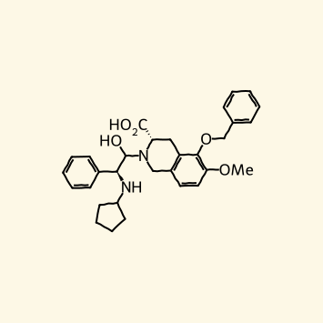 COc1ccc2c(c1OCc1ccccc1)C[C@@H](C(=O)O)N(C(O)[C@@H](NC1CCCC1)c1ccccc1)C2